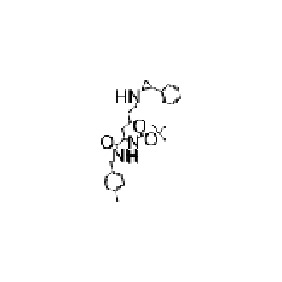 Cc1ccc(CNC(=O)C(CCCCN[C@@H]2C[C@H]2c2ccccc2)NC(=O)OC(C)(C)C)cc1